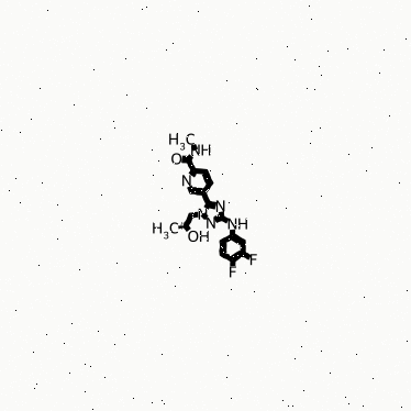 CNC(=O)c1ccc(-c2nc(Nc3ccc(F)c(F)c3)nn2C[C@H](C)O)cn1